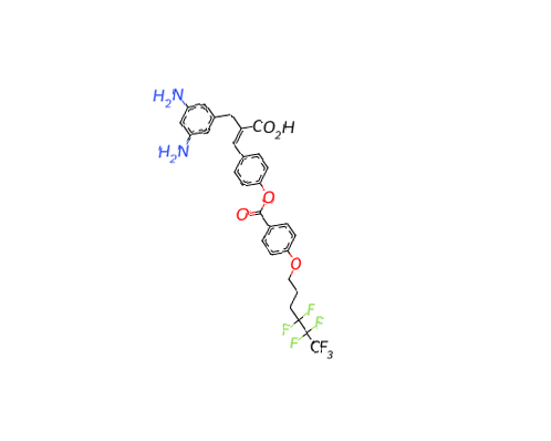 Nc1cc(N)cc(CC(=Cc2ccc(OC(=O)c3ccc(OCCCC(F)(F)C(F)(F)C(F)(F)F)cc3)cc2)C(=O)O)c1